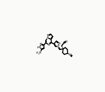 C#[N+][C@H]1CC[C@@](/C=[N+]2/C=C(c3nc(-c4cc(N)[nH]n4)cn4nccc34)C=N2)(CC#N)CC1